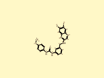 O=C(Nc1ccc(OC(F)(F)F)cc1)Nc1cccc(CNc2cnc3cc(F)c(F)cc3n2)c1